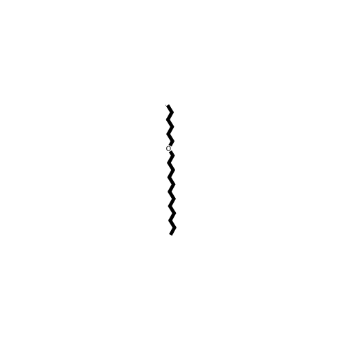 [CH2]CCCCCOCCCCCCCCCCCC